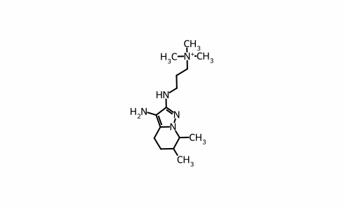 CC1CCc2c(N)c(NCCC[N+](C)(C)C)nn2C1C